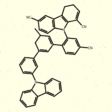 CC1C=C(c2ccc(C#N)cc2-n2c3c(c4cc(C#N)ccc42)CCC=C3C#N)C=C(c2cccc(-n3c4ccccc4c4ccccc43)c2)C1